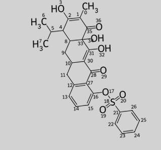 CC1=C(O)C(C(C)C)C2CC3Cc4cccc(OS(=O)(=O)c5ccccc5)c4C(=O)C3=C(O)C2(O)C1=O